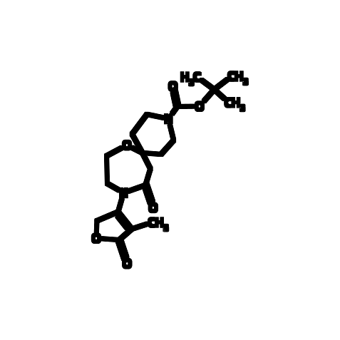 CC1=C(N2CCOC3(CCN(C(=O)OC(C)(C)C)CC3)CC2=O)COC1=O